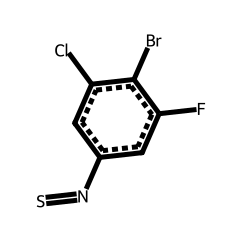 Fc1cc(N=S)cc(Cl)c1Br